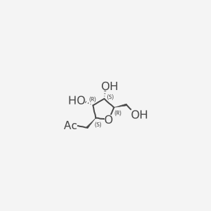 CC(=O)C[C@@H]1O[C@H](CO)[C@@H](O)[C@H]1O